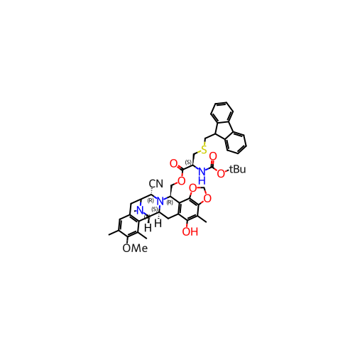 COc1c(C)cc2c(c1C)[C@H]1[C@@H]3Cc4c(O)c(C)c5c(c4[C@H](COC(=O)[C@@H](CSCC4c6ccccc6-c6ccccc64)NC(=O)OC(C)(C)C)N3[C@@H](C#N)C(C2)N1C)OCO5